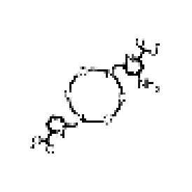 COC(=O)c1cccc(CN2CCOCCOCCN(Cc3cc(N)cc(C(=O)OC)n3)CCOCCOCC2)n1